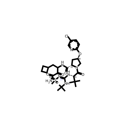 CC(C)(C)N/C(=N\S(C)(=O)=O)N[C@H](C(=O)N1C[C@H](Oc2ccc(Cl)cn2)C[C@H]1C(=O)NC(CC1CCC1)C(=O)C(N)=O)C(C)(C)C